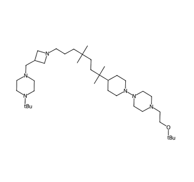 CC(C)(CCCN1CC(CN2CCN(C(C)(C)C)CC2)C1)CCC(C)(C)C1CCN(N2CCN(CCOC(C)(C)C)CC2)CC1